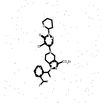 CCOC(=O)c1nn(C(C)c2ccccc2C(F)F)c2c1CN(c1cnn(C3CCCCO3)c(=O)c1Cl)CC2